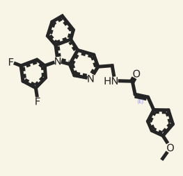 COc1ccc(/C=C/C(=O)NCc2cc3c4ccccc4n(-c4cc(F)cc(F)c4)c3cn2)cc1